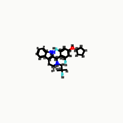 C[C@@H]1Cc2c([nH]c3ccccc23)[C@@H](c2c(F)cc(O[C@@H]3[CH]CCC3)cc2F)N1CC(C)(C)F